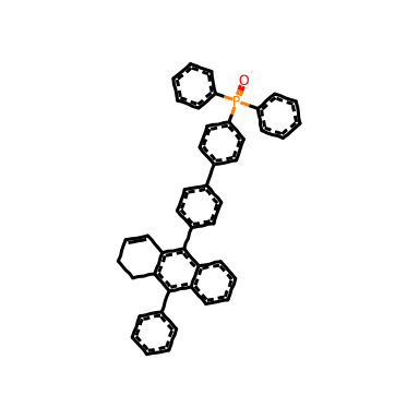 O=P(c1ccccc1)(c1ccccc1)c1ccc(-c2ccc(-c3c4c(c(-c5ccccc5)c5ccccc35)CCC=C4)cc2)cc1